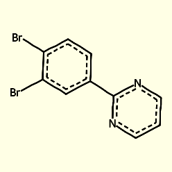 Brc1ccc(-c2ncccn2)cc1Br